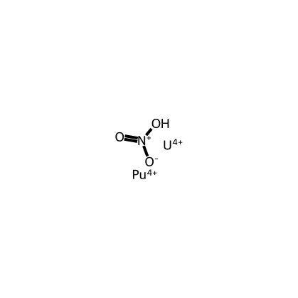 O=[N+]([O-])O.[Pu+4].[U+4]